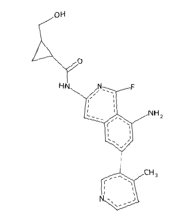 Cc1ccncc1-c1cc(N)c2c(F)nc(NC(=O)C3CC3CO)cc2c1